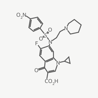 O=C(O)c1cn(C2CC2)c2cc(N(CCN3CCCCC3)S(=O)(=O)c3ccc([N+](=O)[O-])cc3)c(F)cc2c1=O